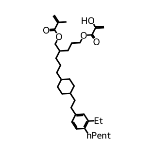 C=C(C)C(=O)OCC(CCCOC(=O)C(=C)O)CCCC1CCC(CCc2ccc(CCCCC)c(CC)c2)CC1